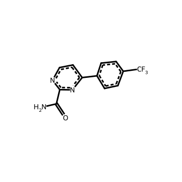 NC(=O)c1nccc(-c2ccc(C(F)(F)F)cc2)n1